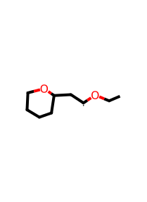 CCO[CH]CC1CCCCO1